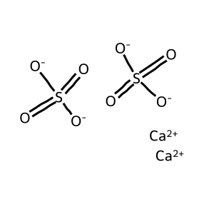 O=S(=O)([O-])[O-].O=S(=O)([O-])[O-].[Ca+2].[Ca+2]